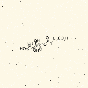 O=C(O)CCCC(=O)OCC(=O)[C@H](O)[C@@H](O)[C@H](O)CO